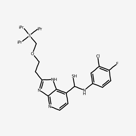 CC(C)S(COCCc1nc2nccc(C(S)Nc3ccc(F)c(Cl)c3)c2[nH]1)(C(C)C)C(C)C